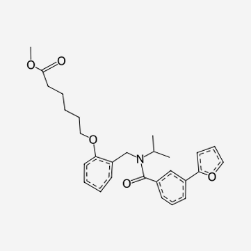 COC(=O)CCCCCOc1ccccc1CN(C(=O)c1cccc(-c2ccco2)c1)C(C)C